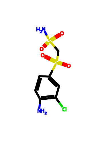 Nc1ccc(S(=O)(=O)CS(N)(=O)=O)cc1Cl